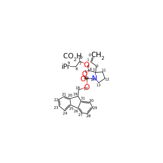 C=CCC1(C(=O)OC(CC(C)C)C(=O)O)CCCN1C(=O)OCC1c2ccccc2-c2ccccc21